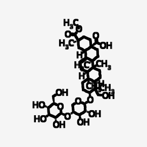 COC(=O)[C@@]1(C)CC[C@]2(C(=O)O)CC[C@]3(C)C(=CC[C@@H]4[C@@]5(C)CC[C@H](O[C@@H]6OC[C@@H](O[C@@H]7O[C@H](CO)[C@@H](O)[C@H](O)[C@H]7O)[C@H](O)[C@H]6O)[C@@](C)(CO)[C@@H]5CC[C@]43C)[C@@H]2C1